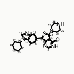 O=c1[nH]cnc2c(-c3ccc4c(c3)ncn4C3CCCCC3)sc(N3CCNCC3)c12